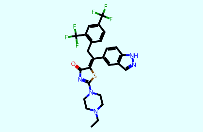 CCN1CCN(C2=NC(=O)C(=C(Cc3ccc(C(F)(F)F)cc3C(F)(F)F)c3ccc4[nH]ncc4c3)S2)CC1